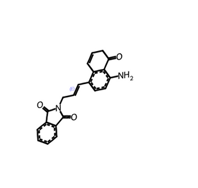 Nc1ccc(/C=C/CN2C(=O)c3ccccc3C2=O)c2c1C(=O)CC=C2